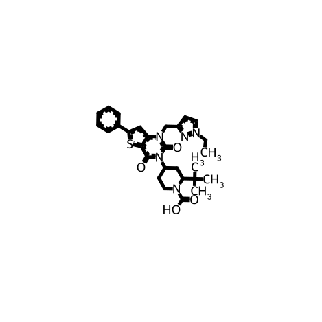 CCn1ccc(Cn2c(=O)n(C3CCN(C(=O)O)C(C(C)(C)C)C3)c(=O)c3sc(-c4ccccc4)cc32)n1